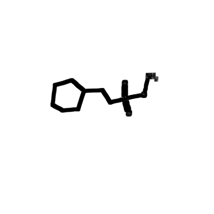 NOS(=O)(=O)CCC1CCCCC1